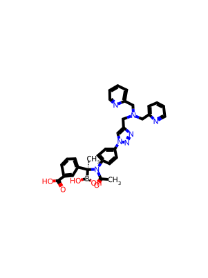 CC(=O)N(c1ccc(-n2cc(CN(Cc3ccccn3)Cc3ccccn3)nn2)cc1)[C@@](C)(B(O)O)c1cccc(C(=O)O)c1